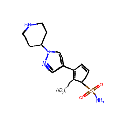 NS(=O)(=O)C1C=CC(c2cnn(C3CCNCC3)c2)=C1C(=O)O